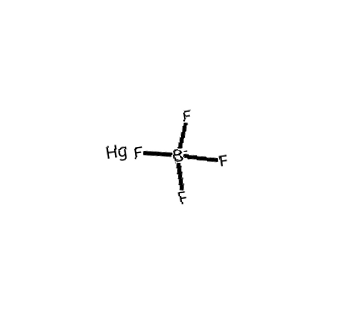 F[B-](F)(F)F.[Hg]